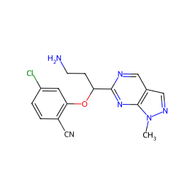 Cn1ncc2cnc(C(CCN)Oc3cc(Cl)ccc3C#N)nc21